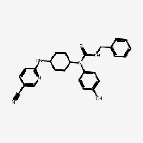 N#Cc1ccc(NC2CCC(N(C(=O)NCc3ccccc3)c3ccc(O)cc3)CC2)nc1